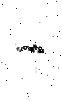 NC(CNc1ncc(-c2ccc3cn[nH]c3c2)s1)Cc1ccc(C(F)(F)F)cc1